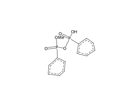 COP(=O)(OP(=O)(O)c1ccccc1)c1ccccc1